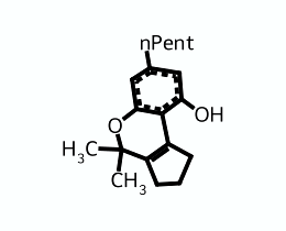 CCCCCc1cc(O)c2c(c1)OC(C)(C)C1=C2CCC1